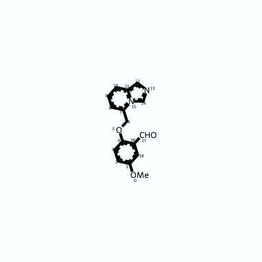 COc1ccc(OCc2cccc3cncn23)c(C=O)c1